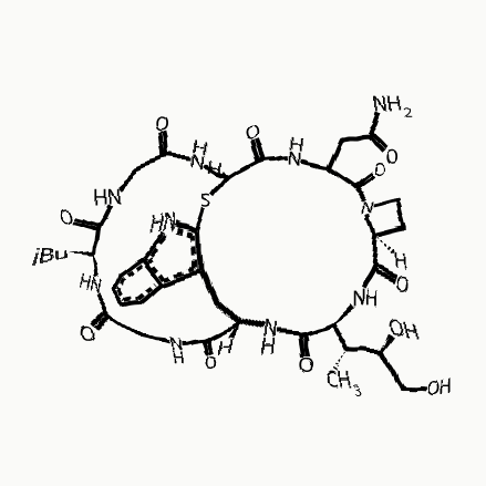 CC[C@H](C)[C@@H]1NC(=O)CNC(=O)[C@@H]2Cc3c([nH]c4ccccc34)S[C@H](NC(=O)CNC1=O)C(=O)NC(CC(N)=O)C(=O)N1CC[C@H]1C(=O)N[C@@H]([C@@H](C)[C@@H](O)CO)C(=O)N2